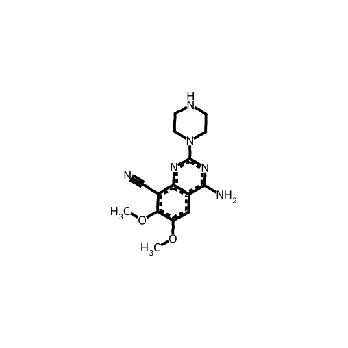 COc1cc2c(N)nc(N3CCNCC3)nc2c(C#N)c1OC